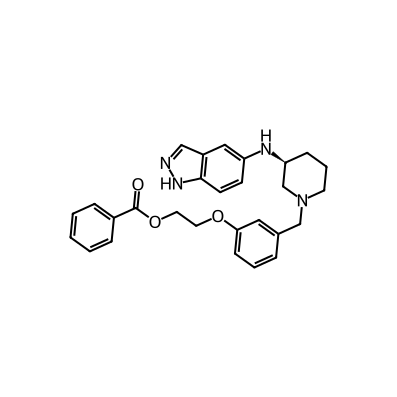 O=C(OCCOc1cccc(CN2CCC[C@H](Nc3ccc4[nH]ncc4c3)C2)c1)c1ccccc1